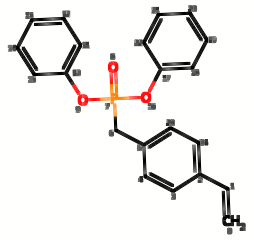 C=Cc1ccc(CP(=O)(Oc2ccccc2)Oc2ccccc2)cc1